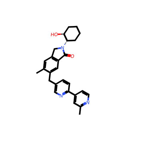 Cc1cc(-c2ccc(Cc3cc4c(cc3C)CN([C@H]3CCCC[C@@H]3O)C4=O)cn2)ccn1